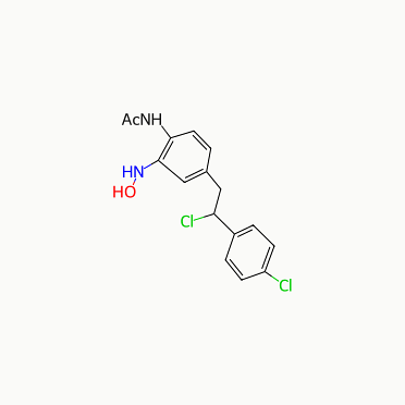 CC(=O)Nc1ccc(CC(Cl)c2ccc(Cl)cc2)cc1NO